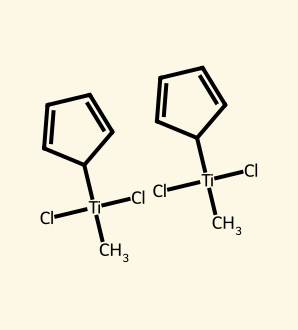 [CH3][Ti]([Cl])([Cl])[CH]1C=CC=C1.[CH3][Ti]([Cl])([Cl])[CH]1C=CC=C1